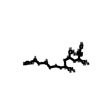 CCCCCCCCOCOCCCC(C)CC(C)C[CH](C)[Mg][Cl]